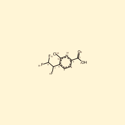 O=C(O)c1ccc(C(F)C(F)F)c(Cl)n1